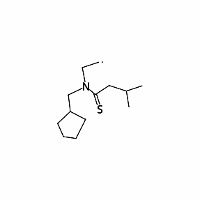 [CH2]CN(CC1CCCC1)C(=S)CC(C)C